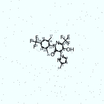 Cc1ccn(-c2c(O)c(C(F)(F)F)nn(-c3c(C)cc(C(F)(F)F)cc3C)c2=O)n1